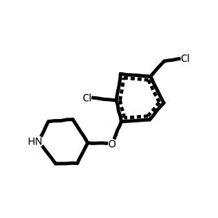 ClCc1ccc(OC2CCNCC2)c(Cl)c1